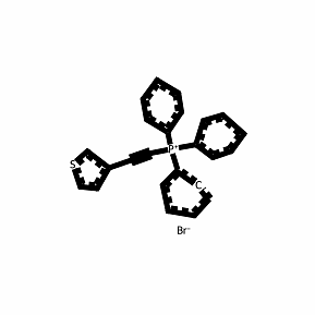 C(#C[P+](c1ccccc1)(c1ccccc1)c1ccccc1)c1ccsc1.[Br-]